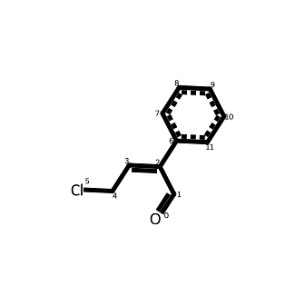 O=CC(=CCCl)c1ccccc1